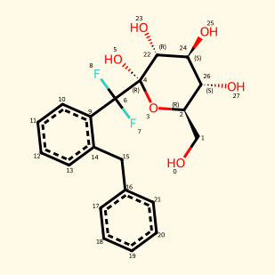 OC[C@H]1O[C@@](O)(C(F)(F)c2ccccc2Cc2ccccc2)[C@H](O)[C@@H](O)[C@@H]1O